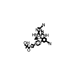 CC(C)(CO)C(=O)N1CC(N2CCN(c3cc(C#N)cc(Nc4nc(NC5CC5)c5ncc(C#N)n5n4)c3Cl)CC2)C1